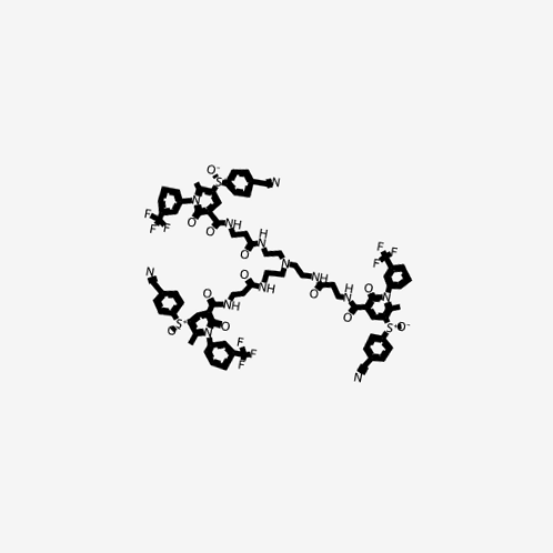 Cc1c([S+]([O-])c2ccc(C#N)cc2)cc(C(=O)NCCC(=O)NCCN(CCNC(=O)CCNC(=O)c2cc([S+]([O-])c3ccc(C#N)cc3)c(C)n(-c3cccc(C(F)(F)F)c3)c2=O)CCNC(=O)CCNC(=O)c2cc([S+]([O-])c3ccc(C#N)cc3)c(C)n(-c3cccc(C(F)(F)F)c3)c2=O)c(=O)n1-c1cccc(C(F)(F)F)c1